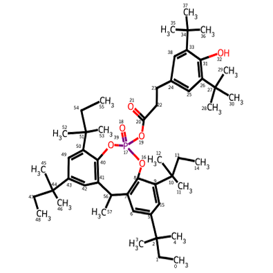 CCC(C)(C)c1cc2c(c(C(C)(C)CC)c1)OP(=O)(OC(=O)CCc1cc(C(C)(C)C)c(O)c(C(C)(C)C)c1)Oc1c(cc(C(C)(C)CC)cc1C(C)(C)CC)C2C